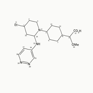 CCC1CCN(C2CCC(C(OC)C(=O)O)CC2)C(Nc2ccnnc2)C1